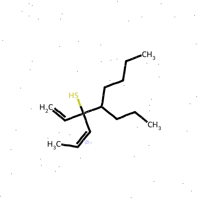 C=CC(S)(/C=C\C)C(CCC)CCCC